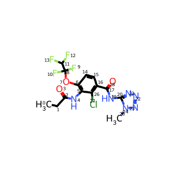 CCC(=O)Nc1c(OC(F)(F)C(F)F)ccc(C(=O)Nc2nnnn2C)c1Cl